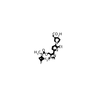 CCc1nc(-c2nnn(C)c2COC(=O)N(C)C23CC(F)(C2)C3)ccc1N1CCC[C@H](CC(=O)O)C1